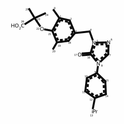 Cc1cc(Cn2ncn(-c3ccc(C(C)C)cc3)c2=O)cc(C)c1OC(C)(C)C(=O)O